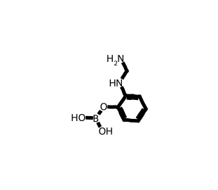 NCNc1ccccc1OB(O)O